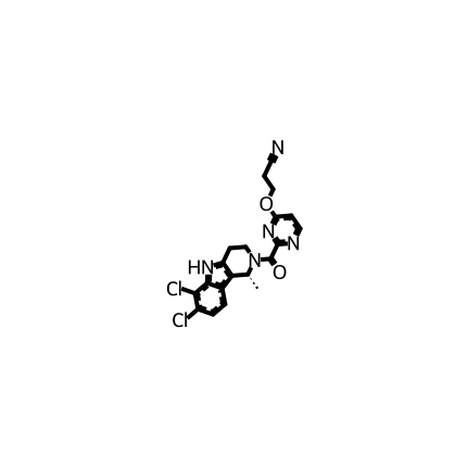 C[C@@H]1c2c([nH]c3c(Cl)c(Cl)ccc23)CCN1C(=O)c1nccc(OCCC#N)n1